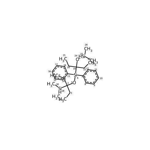 CCC(CC)(O[Si](c1ccccc1)(c1ccccc1)C(CC)(CC)O[SiH](C)C)[SiH](C)C